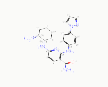 NC(=O)c1ccc(N[C@@H]2CCCC[C@@H]2N)nc1Nc1ccc(-n2cccn2)cc1